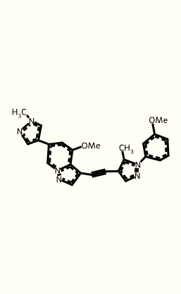 COc1cccc(-n2ncc(C#Cc3cnn4cc(-c5cnn(C)c5)cc(OC)c34)c2C)c1